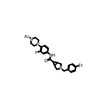 CCc1ccc(CN2CC3C(C2)C3C(=O)Nc2ccc(N3CCN(C(C)=O)CC3)c(F)c2)cc1